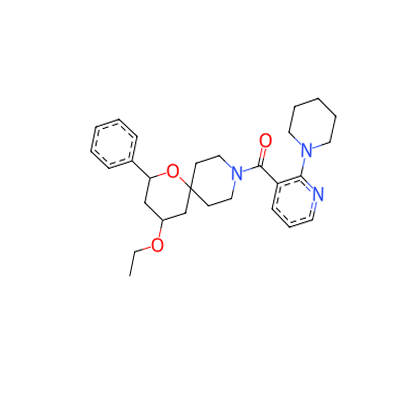 CCOC1CC(c2ccccc2)OC2(CCN(C(=O)c3cccnc3N3CCCCC3)CC2)C1